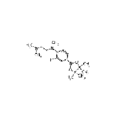 CN(C)CCN(C)c1ccc(B2OC(C)(C)C(C)(C)O2)cc1F